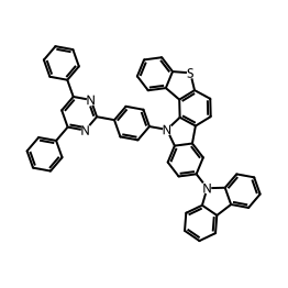 c1ccc(-c2cc(-c3ccccc3)nc(-c3ccc(-n4c5ccc(-n6c7ccccc7c7ccccc76)cc5c5ccc6sc7ccccc7c6c54)cc3)n2)cc1